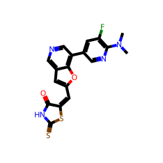 CN(C)c1ncc(-c2cncc3cc(C=C4SC(=S)NC4=O)oc23)cc1F